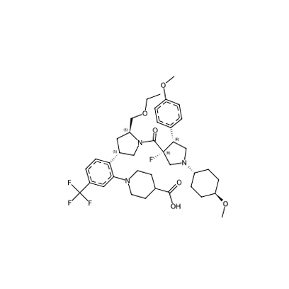 CCOC[C@@H]1C[C@@H](c2ccc(C(F)(F)F)cc2N2CCC(C(=O)O)CC2)CN1C(=O)[C@]1(F)CN([C@H]2CC[C@H](OC)CC2)C[C@H]1c1ccc(OC)cc1